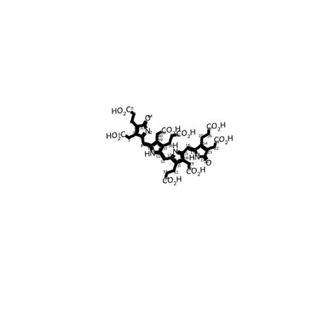 O=C(O)CCC1=C(CC(=O)O)C(/C=c2/[nH]/c(=C/c3[nH]c(/C=C4\NC(=O)C(CC(=O)O)=C4CCC(=O)O)c(CC(=O)O)c3CCC(=O)O)c(CCC(=O)O)c2CC(=O)O)=NC1=O